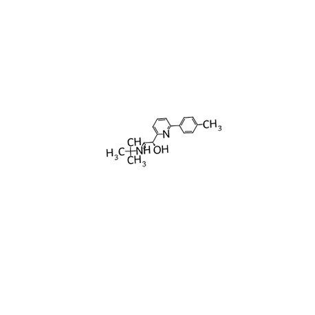 Cc1ccc(-c2cccc([C@@H](O)CNC(C)(C)C)n2)cc1